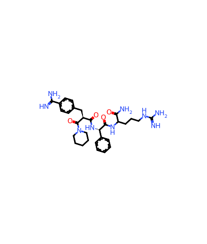 N=C(N)NCCCC(NC(=O)[C@@H](NC(=O)[C@H](Cc1ccc(C(=N)N)cc1)C(=O)N1CCCCC1)c1ccccc1)C(N)=O